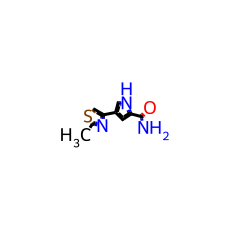 Cc1nc(-c2c[nH]c(C(N)=O)c2)cs1